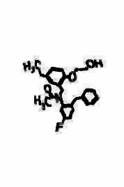 CCc1ccc(OCCO)c(CN(C(C)=O)c2cc(F)ccc2Cc2ccccc2)c1